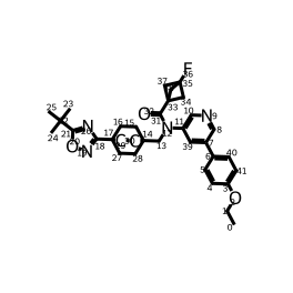 CCOc1ccc(-c2cncc(N(CC34CCC(c5noc(C(C)(C)C)n5)(CC3)CC4)C(=O)C34CC(F)(C3)C4)c2)cc1